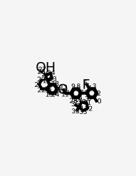 Cc1ccc(F)c(-c2ccc(COc3ccc4c(c3)[C@@]3(CCC4)CC[C@@H]3CO)cc2[C@@H]2CCCC2(C)C)c1